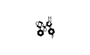 O=C([C@@H]1CNC[C@H]1c1ccc(F)cc1)N1CCOC[C@@H]1c1ccccc1